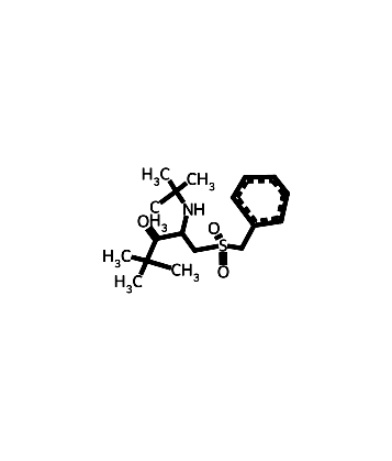 CC(C)(C)NC(CS(=O)(=O)Cc1ccccc1)C(=O)C(C)(C)C